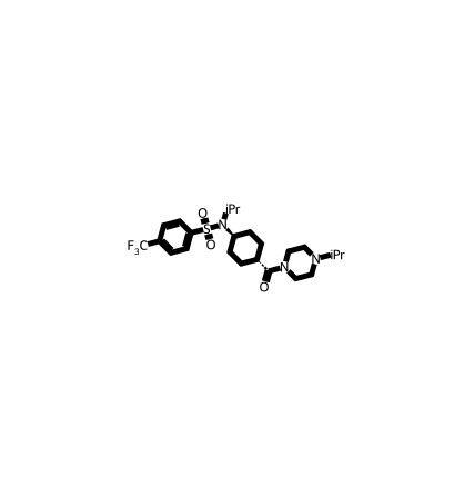 CC(C)N1CCN(C(=O)[C@H]2CC[C@H](N(C(C)C)S(=O)(=O)c3ccc(C(F)(F)F)cc3)CC2)CC1